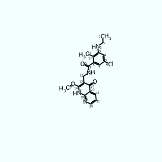 CCNc1cc(Cl)cc(C(=O)NCc2c(OC)[nH]c3ncccc3c2=O)c1C